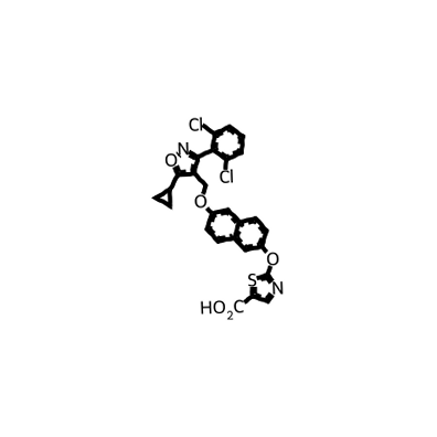 O=C(O)c1cnc(Oc2ccc3cc(OCc4c(-c5c(Cl)cccc5Cl)noc4C4CC4)ccc3c2)s1